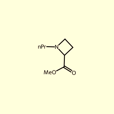 CCCN1CCC1C(=O)OC